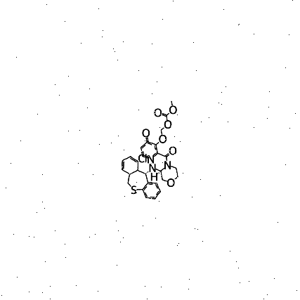 COC(=O)OCOc1c2n(ccc1=O)N([C@@H]1c3ccccc3SCC3C=CC=C(Cl)C31)[C@@H]1COCCN1C2=O